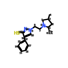 CCC1CC(C)CN1CCn1cc(-c2ccccc2)c(S)n1